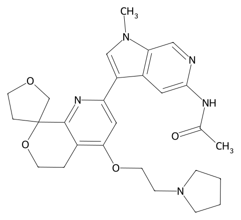 CC(=O)Nc1cc2c(-c3cc(OCCN4CCCC4)c4c(n3)C3(CCOC3)OCC4)cn(C)c2cn1